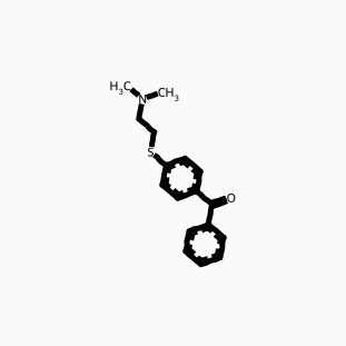 CN(C)CCSc1ccc(C(=O)c2ccccc2)cc1